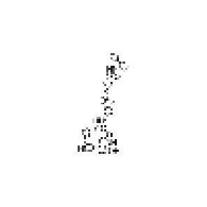 CN(C(=O)CCN1CCC(OC(=O)Nc2ccccc2-c2ccccc2)CC1)c1ccc(CNC(=O)CCc2cccc(CC3C[C@H](c4ccc(O)c5[nH]c(=O)ccc45)CN3)c2)cc1